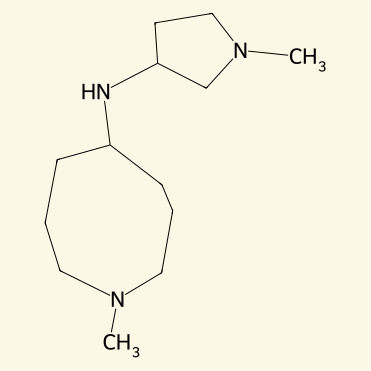 CN1CCCC(NC2CCN(C)C2)CCC1